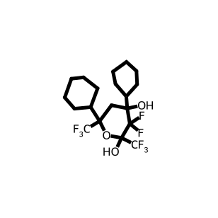 OC1(C2CCCCC2)CC(C2CCCCC2)(C(F)(F)F)OC(O)(C(F)(F)F)C1(F)F